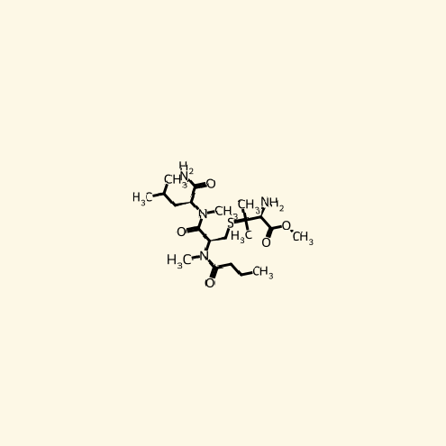 CCCC(=O)N(C)[C@H](CSC(C)(C)[C@@H](N)C(=O)OC)C(=O)N(C)[C@@H](CC(C)C)C(N)=O